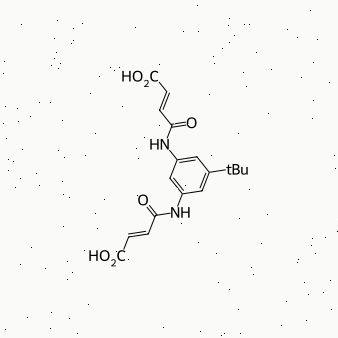 CC(C)(C)c1cc(NC(=O)C=CC(=O)O)cc(NC(=O)C=CC(=O)O)c1